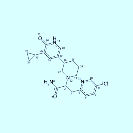 NC(=O)C(Cc1ccc(Cl)cn1)N1CCCC(c2c[nH]c(=O)c(C3CC3)c2)C1